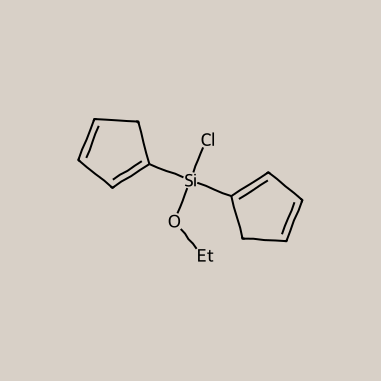 CCO[Si](Cl)(C1=CC=CC1)C1=CC=CC1